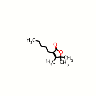 CCCCCC1=C(C)C(C)(C)OC1=O